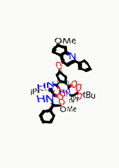 CCC[C@H](NC(=O)[C@@H]1C[C@H](Oc2cc(-c3ccccc3)nc3cc(OC)ccc23)C[C@@H]1C(=O)N[C@H](C(=O)NC(C(=O)OC)C1CCCCC1)C(C)C)C(=O)OC(C)(C)C